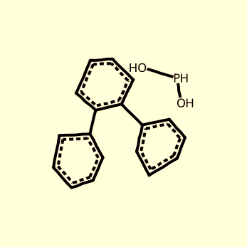 OPO.c1ccc(-c2ccccc2-c2ccccc2)cc1